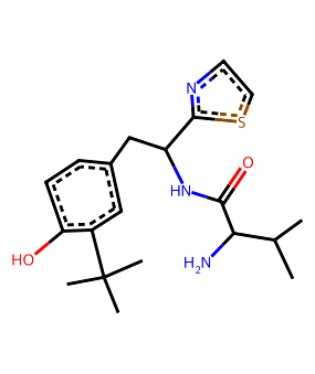 CC(C)C(N)C(=O)NC(Cc1ccc(O)c(C(C)(C)C)c1)c1nccs1